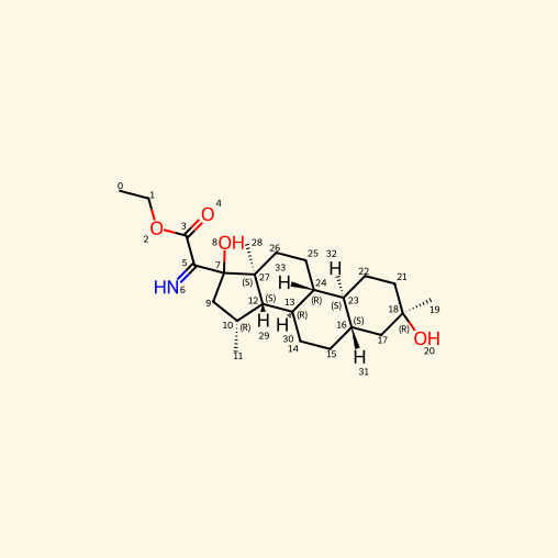 CCOC(=O)C(=N)C1(O)C[C@@H](C)[C@H]2[C@@H]3CC[C@H]4C[C@](C)(O)CC[C@@H]4[C@H]3CC[C@@]21C